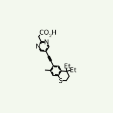 CCC1(CC)CCSc2cc(C)c(C#Cc3cnc(CC(=O)O)nc3)cc21